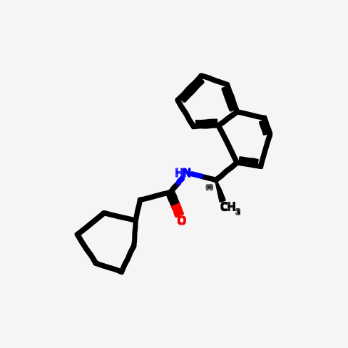 C[C@@H](NC(=O)CC1CCCCC1)c1cccc2ccccc12